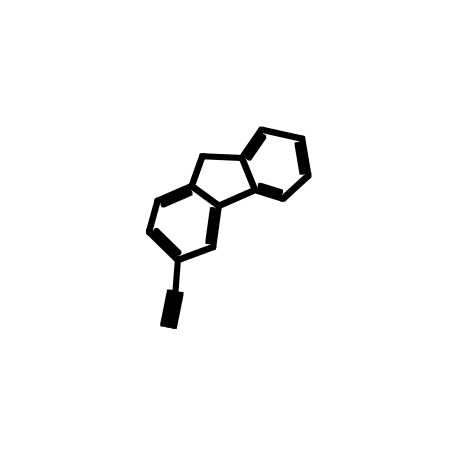 C#Cc1ccc2c(c1)-c1ccccc1C2